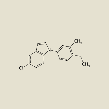 CCc1ccc(-n2ccc3cc(Cl)ccc32)cc1C